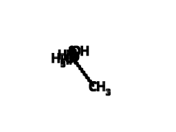 CCCCCCCCCCCCCCCCCCNC(=O)[C@H](C)NCc1ccccc1O